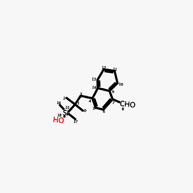 CC(C)(Cc1ccc(C=O)c2ccccc12)[Si](C)(C)O